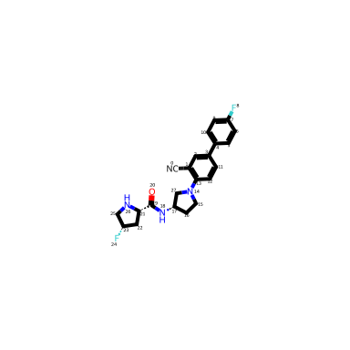 N#Cc1cc(-c2ccc(F)cc2)ccc1N1CC[C@H](NC(=O)[C@@H]2C[C@H](F)CN2)C1